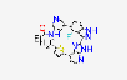 CCC(=O)Nc1cncc(-c2ccc3[nH]nc(-c4nc5c(-c6ccc(C)s6)ccnc5[nH]4)c3c2F)c1